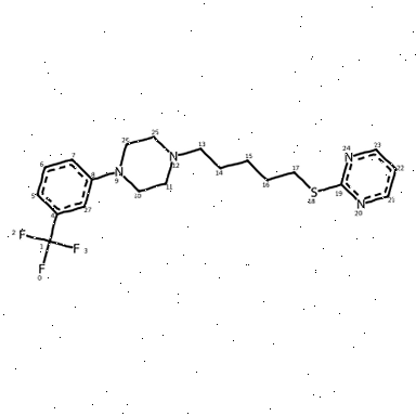 FC(F)(F)c1cccc(N2CCN(CCCCCSc3ncccn3)CC2)c1